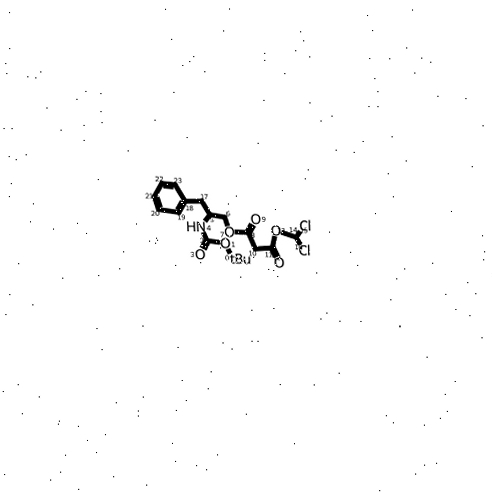 CC(C)(C)OC(=O)NC(COC(=O)CC(=O)OC(Cl)Cl)Cc1ccccc1